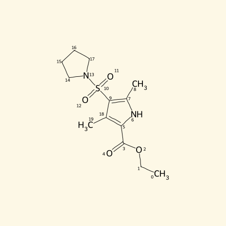 CCOC(=O)c1[nH]c(C)c(S(=O)(=O)N2CCCC2)c1C